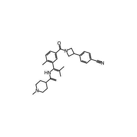 C=C(NC(=C(C)C)c1cc(C(=O)N2CC(c3ccc(C#N)cc3)C2)ccc1C)C1CCN(C)CC1